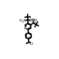 BC(c1cc(-c2ccc(C(C)=O)cc2)ncc1C(B)(B)C(C)(C)C)C(C)(C)C